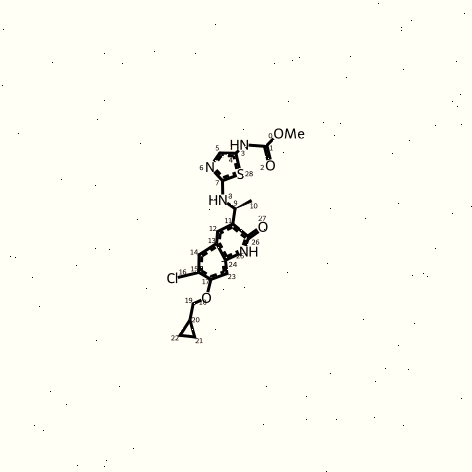 COC(=O)Nc1cnc(N[C@@H](C)c2cc3cc(Cl)c(OCC4CC4)cc3[nH]c2=O)s1